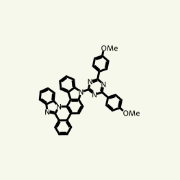 COc1ccc(-c2nc(-c3ccc(OC)cc3)nc(-n3c4ccccc4c4c3ccc3c5ccccc5c5nc6ccccc6n5c34)n2)cc1